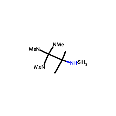 CNC(NC)(NC)C(C)(C)N[SiH3]